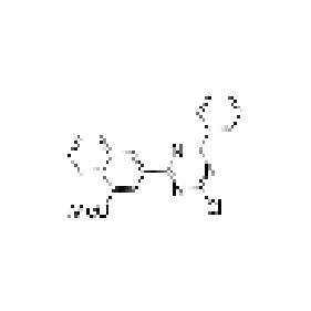 COc1cc(-c2nc(Cl)nc(-c3ccccc3)n2)cc2ccccc12